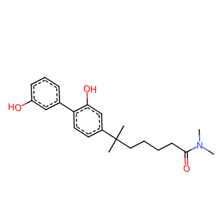 CN(C)C(=O)CCCCC(C)(C)c1ccc(-c2cccc(O)c2)c(O)c1